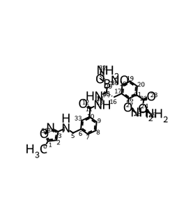 Cc1cc(NCc2cccc(C(=O)NN[C@@H](Cc3cccc(C(=O)ON)c3ON)B(N=O)ON)c2)no1